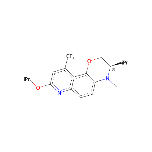 CC(C)Oc1cc(C(F)(F)F)c2c3c(ccc2n1)N(C)[C@H](C(C)C)CO3